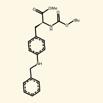 COC(=O)[C@H](Cc1ccc(NCc2ccccc2)cc1)NC(=O)OC(C)(C)C